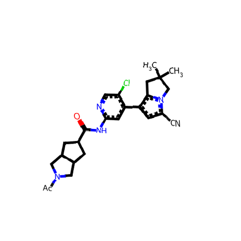 CC(=O)N1CC2CC(C(=O)Nc3cc(-c4cc(C#N)n5c4CC(C)(C)C5)c(Cl)cn3)CC2C1